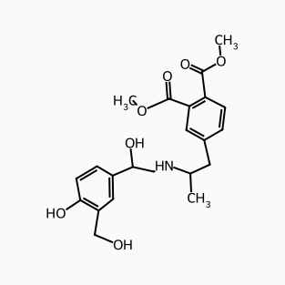 COC(=O)c1ccc(CC(C)NCC(O)c2ccc(O)c(CO)c2)cc1C(=O)OC